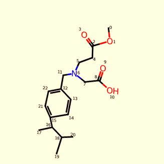 COC(=O)CCN(CC(=O)O)Cc1ccc(C(C)C(C)C)cc1